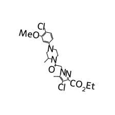 CCOC(=O)c1nn(CC(=O)N2CCN(c3ccc(Cl)c(OC)c3)CC2C)c(C)c1Cl